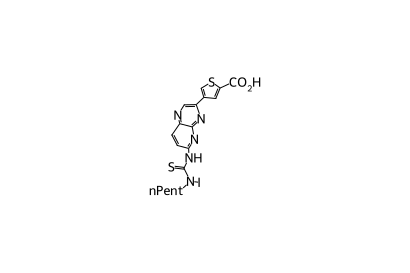 CCCCCN(I)C(=S)Nc1ccc2ncc(-c3csc(C(=O)O)c3)nc2n1